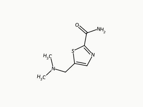 CN(C)Cc1cnc(C(N)=O)s1